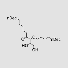 CCCCCCCCCCCCCCCC(=O)C(OCCCCCCCCCCCCCC)C(O)CO